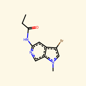 CCC(=O)Nc1cc2c(Br)cn(C)c2cn1